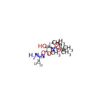 CC[C@@H](C(O)C(=O)O/N=C(\N)C1CC1)N(C)C(=O)OC(C)(C)C